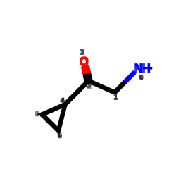 [NH]CC(=O)C1CC1